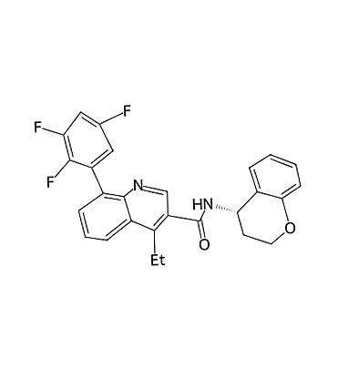 CCc1c(C(=O)N[C@H]2CCOc3ccccc32)cnc2c(-c3cc(F)cc(F)c3F)cccc12